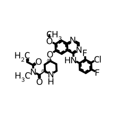 C=CC(=O)N(C)C(=O)[C@H]1C[C@H](Oc2cc3c(Nc4ccc(F)c(Cl)c4F)ncnc3cc2OC)CCN1